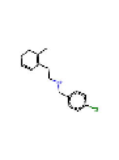 CC1=C(CCNCc2ccc(Cl)cc2)C=CCC1